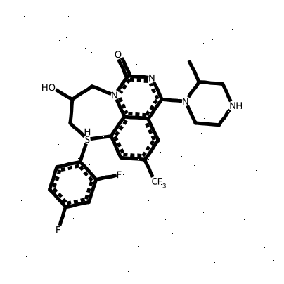 CC1CNCCN1c1nc(=O)n2c3c(cc(C(F)(F)F)cc13)[SH](c1ccc(F)cc1F)CC(O)C2